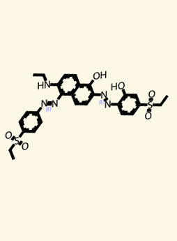 CCNc1ccc2c(O)c(/N=N/c3ccc(S(=O)(=O)CC)cc3O)ccc2c1/N=N/c1ccc(S(=O)(=O)CC)cc1